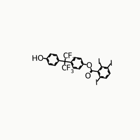 O=C(Oc1ccc(C(c2ccc(O)cc2)(C(F)(F)F)C(F)(F)F)cc1)c1c(I)ccc(I)c1I